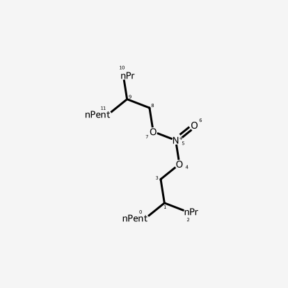 CCCCCC(CCC)CO[N+](=O)OCC(CCC)CCCCC